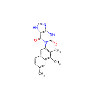 Cc1ccc2cc(-n3c(=O)[nH]c4nc[nH]c4c3=O)c(C)c(C)c2c1